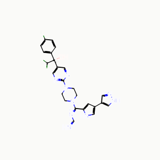 N=C/N=C(\c1cc(-c2cn[nH]c2)c[nH]1)N1CCN(c2ncc([C@@](O)(c3ccc(F)cc3)C(F)F)cn2)CC1